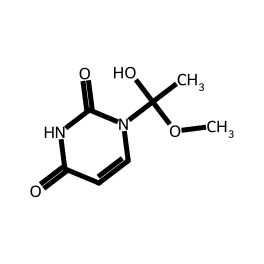 COC(C)(O)n1ccc(=O)[nH]c1=O